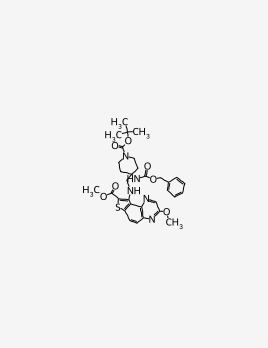 COC(=O)c1sc2ccc3nc(OC)cnc3c2c1NCC1(NC(=O)OCc2ccccc2)CCN(C(=O)OC(C)(C)C)CC1